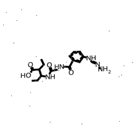 CCC(NC(=O)CNC(=O)c1cccc(NC=NN)c1)C(CC)C(=O)O